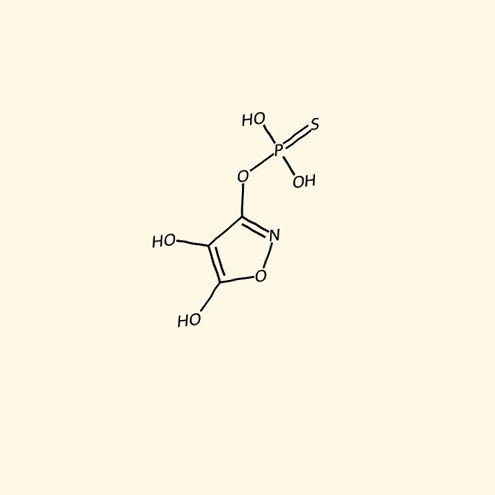 Oc1onc(OP(O)(O)=S)c1O